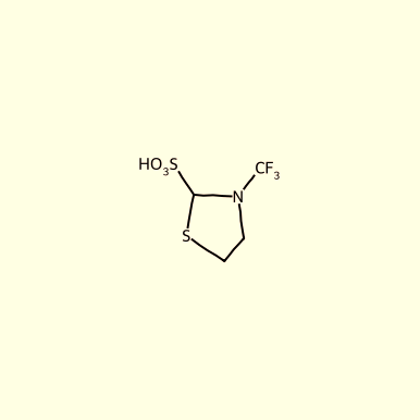 O=S(=O)(O)C1SCCN1C(F)(F)F